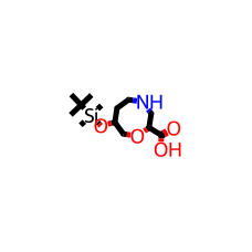 CC(C)(C)[Si](C)(C)OC1CCNCC(C(=O)O)OC1